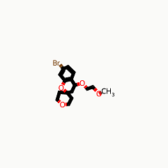 COCCOC1CC2(CCOCC2)Oc2cc(Br)ccc21